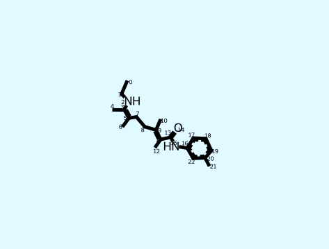 CCN/C(C)=C(/C)CC/C(C)=C(\C)C(=O)Nc1cccc(C)c1